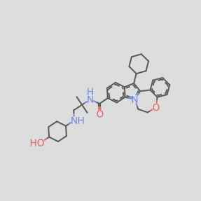 CC(C)(CNC1CCC(O)CC1)NC(=O)c1ccc2c(C3CCCCC3)c3n(c2c1)CCOc1ccccc1-3